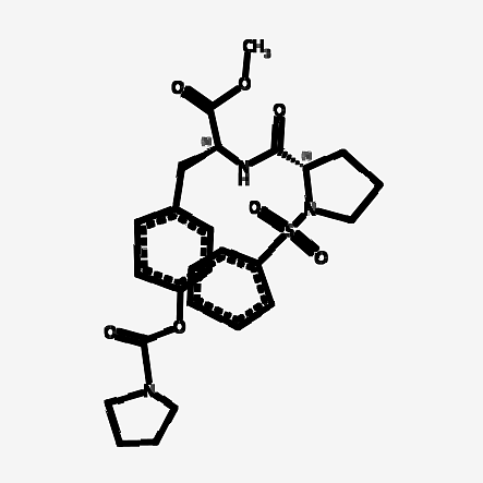 COC(=O)[C@H](Cc1ccc(OC(=O)N2CCCC2)cc1)NC(=O)[C@@H]1CCCN1S(=O)(=O)c1ccccc1